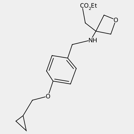 CCOC(=O)CC1(NCc2ccc(OCC3CC3)cc2)COC1